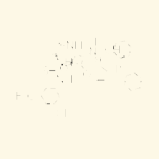 C[C@@H](Nc1c(N[C@H]2CCCC[C@@H]2NC(=S)Nc2cc(C(F)(F)F)cc(C(F)(F)F)c2)c(=O)c1=O)C1=C(P(c2ccccc2)c2ccccc2)C=CC1